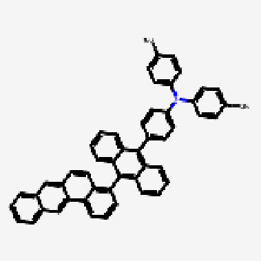 CC(C)(C)c1ccc(N(c2ccc(-c3c4ccccc4c(-c4cccc5c4ccc4cc6ccccc6cc45)c4ccccc34)cc2)c2ccc(C(C)(C)C)cc2)cc1